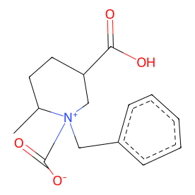 CC1CCC(C(=O)O)C[N+]1(Cc1ccccc1)C(=O)[O-]